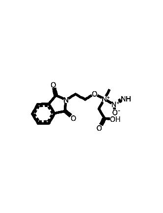 C[N+](CC(=O)O)(OCCN1C(=O)c2ccccc2C1=O)[N+](=N)[O-]